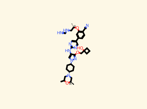 CC1CN([C@H]2CC[C@H](n3cc(Nc4ncc(-c5ccc(C#N)c(O[C@@H](C)CNC=N)c5)cn4)c(OCC4(O)CCC4)n3)CC2)C[C@@H](C)O1